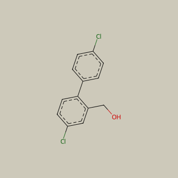 OCc1cc(Cl)ccc1-c1ccc(Cl)cc1